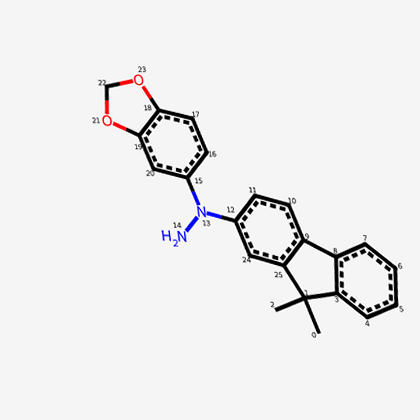 CC1(C)c2ccccc2-c2ccc(N(N)c3ccc4c(c3)OCO4)cc21